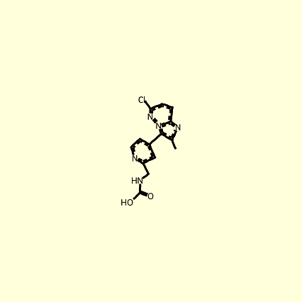 Cc1nc2ccc(Cl)nn2c1-c1ccnc(CNC(=O)O)c1